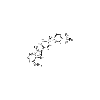 Nc1ccnc(C(=O)Nc2ccc(Oc3ccc(C(F)(F)F)cc3)cc2)c1I